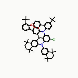 CC(C)(C)c1ccc(N2c3cc4oc5c(C(C)(C)C)cccc5c4cc3B3c4cc5c(cc4N(c4ccc6c(c4)C(C)(C)CCC6(C)C)c4cc(Cl)cc2c43)C(C)(C)CCC5(C)C)c(-c2ccccc2)c1